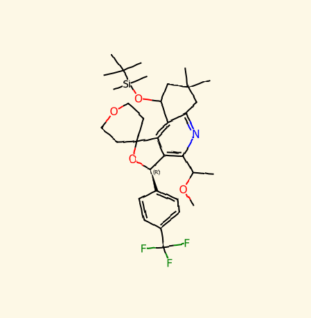 COC(C)c1nc2c(c3c1[C@@H](c1ccc(C(F)(F)F)cc1)OC31CCOCC1)C(O[Si](C)(C)C(C)(C)C)CC(C)(C)C2